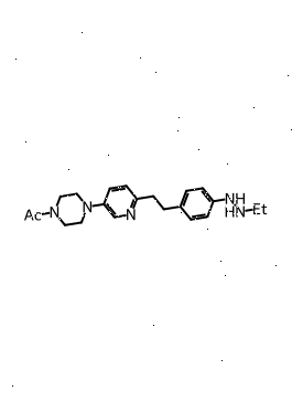 CCNNc1ccc(CCc2ccc(N3CCN(C(C)=O)CC3)cn2)cc1